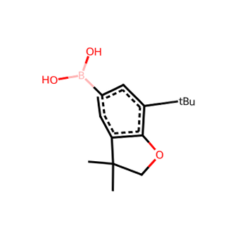 CC(C)(C)c1cc(B(O)O)cc2c1OCC2(C)C